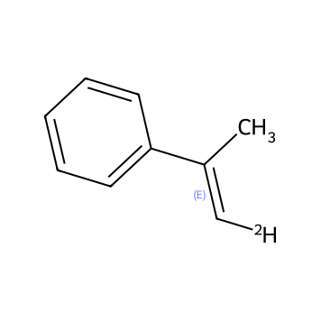 [2H]/C=C(\C)c1ccccc1